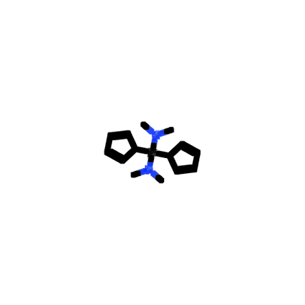 C[N](C)[Zr]([CH]1C=CC=C1)([CH]1C=CC=C1)[N](C)C